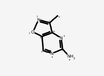 Cc1noc2cnc(N)nc12